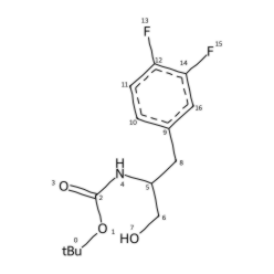 CC(C)(C)OC(=O)NC(CO)Cc1ccc(F)c(F)c1